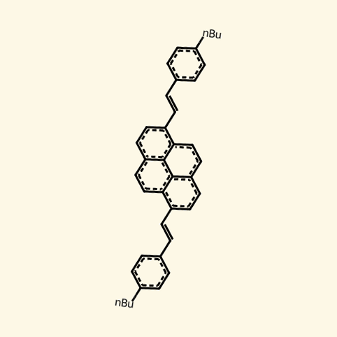 CCCCc1ccc(C=Cc2ccc3ccc4c(C=Cc5ccc(CCCC)cc5)ccc5ccc2c3c54)cc1